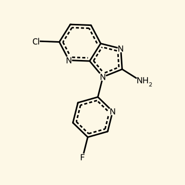 Nc1nc2ccc(Cl)nc2n1-c1ccc(F)cn1